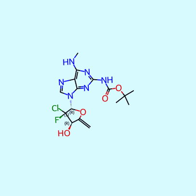 C=C1O[C@@H](n2cnc3c(NC)nc(NC(=O)OC(C)(C)C)nc32)[C@@](F)(Cl)[C@@H]1O